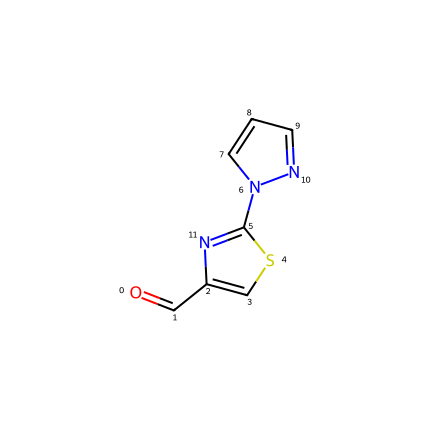 O=Cc1csc(-n2cccn2)n1